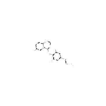 N#CC=Cc1cc(F)c(Nc2ncnc3ccc(F)cc23)c(F)c1